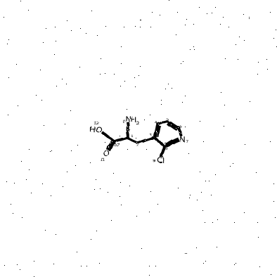 NC(Cc1cccnc1Cl)C(=O)O